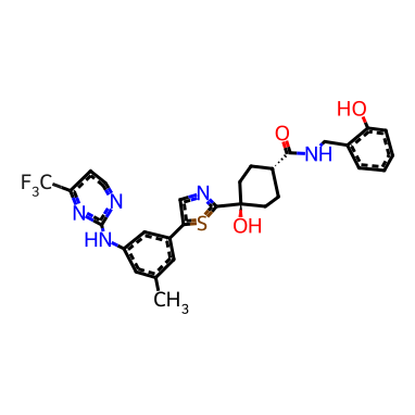 Cc1cc(Nc2nccc(C(F)(F)F)n2)cc(-c2cnc([C@]3(O)CC[C@H](C(=O)NCc4ccccc4O)CC3)s2)c1